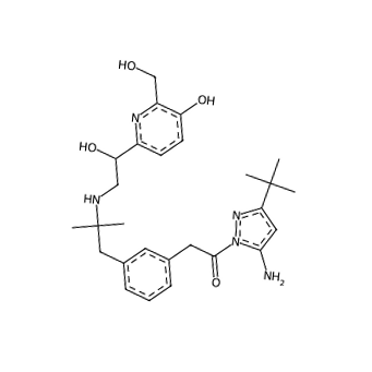 CC(C)(Cc1cccc(CC(=O)n2nc(C(C)(C)C)cc2N)c1)NCC(O)c1ccc(O)c(CO)n1